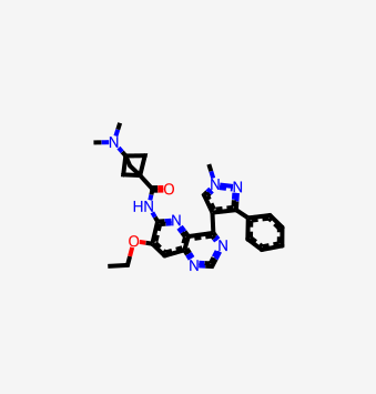 CCOc1cc2ncnc(-c3cn(C)nc3-c3ccccc3)c2nc1NC(=O)C12CC(N(C)C)(C1)C2